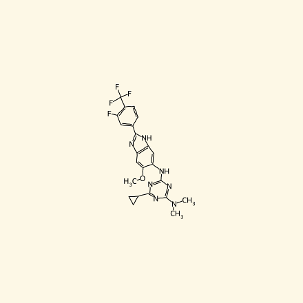 COc1cc2nc(-c3ccc(C(F)(F)F)c(F)c3)[nH]c2cc1Nc1nc(C2CC2)nc(N(C)C)n1